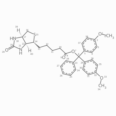 COc1ccc(C(OC(=O)CCCC[C@@H]2SC[C@@H]3NC(=O)N[C@@H]32)(c2ccccc2)c2ccc(OC)cc2)cc1